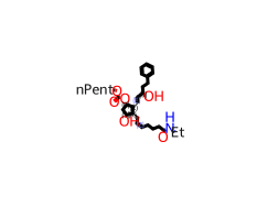 CCCCCOC(=O)O[C@@H]1C[C@H](O)[C@H](C/C=C\CCCC(=O)NCC)[C@H]1/C=C/[C@@H](O)CCc1ccccc1